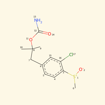 C[S+]([O-])c1ccc(CC(C)(C)OC(N)=O)cc1Cl